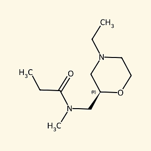 CCC(=O)N(C)C[C@H]1CN(CC)CCO1